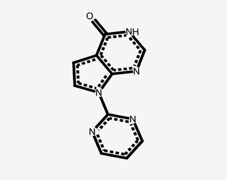 O=c1[nH]cnc2c1ccn2-c1ncccn1